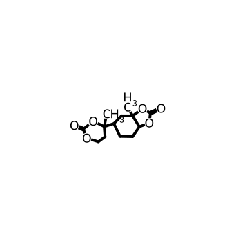 CC1(C2CCC3OC(=O)OC3(C)C2)CCOC(=O)O1